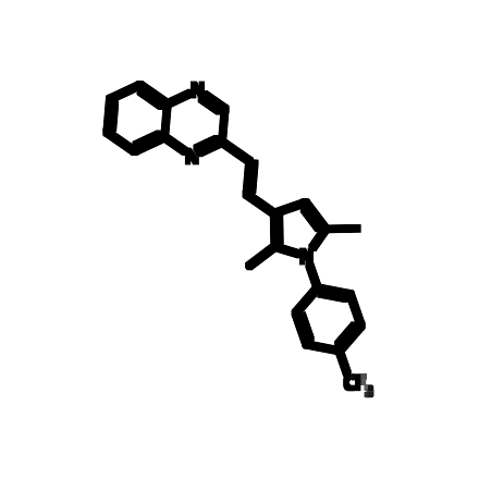 Cc1cc(C=Cc2cnc3ccccc3n2)c(C)n1-c1ccc(C(F)(F)F)cc1